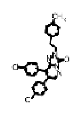 Cc1ccc(CCn2nc3c(-c4ccc(Cl)cc4)c(-c4ccc(Cl)cc4)cnn3c2=O)cc1